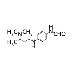 CC(CCNc1ccc(NC=O)cc1)N(C)C